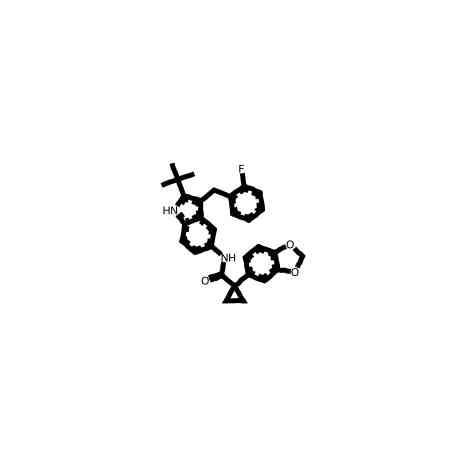 CC(C)(C)c1[nH]c2ccc(NC(=O)C3(c4ccc5c(c4)OCO5)CC3)cc2c1Cc1ccccc1F